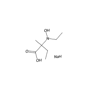 CCN(O)C(C)(CC)C(=O)O.[NaH]